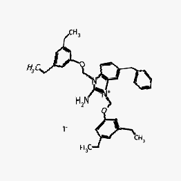 CCc1cc(CC)cc(OCn2c(N)[n+](COc3cc(CC)cc(CC)c3)c3cc(Cc4ccccc4)ccc32)c1.[I-]